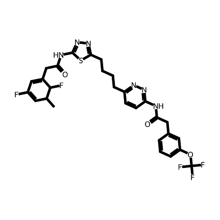 CC1C=C(F)C=C(CC(=O)Nc2nnc(CCCCc3ccc(NC(=O)Cc4cccc(OC(F)(F)F)c4)nn3)s2)C1F